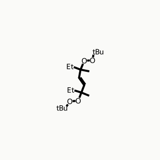 CCC(C)(C=CC(C)(CC)OOC(C)(C)C)OOC(C)(C)C